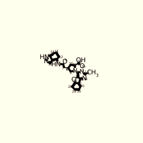 Cc1nc(N2C[C@@H](CC(=O)Nc3cccc4[nH]ncc34)C[C@H]2C(=O)O)c2oc3ccccc3c2n1